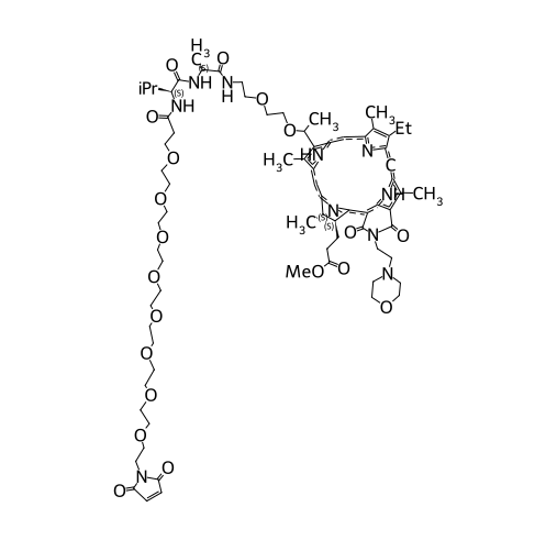 CCC1=C(C)c2cc3[nH]c(cc4nc(c5c6[nH]c(cc1n2)c(C)c6C(=O)N(CCN1CCOCC1)C5=O)[C@@H](CCC(=O)OC)[C@@H]4C)c(C)c3C(C)OCCOCCNC(=O)[C@H](C)NC(=O)[C@@H](NC(=O)CCOCCOCCOCCOCCOCCOCCOCCOCCN1C(=O)C=CC1=O)C(C)C